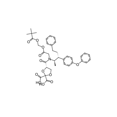 C[C@H]([C@H](CCc1ccccc1)c1ccc(Oc2ccccc2)cc1)N(CC(=O)OCOC(=O)C(C)(C)C)C(=O)[C@@H]1COC(C(=O)O)(C(=O)O)O1